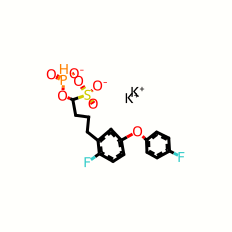 O=[PH]([O-])OC(CCCc1cc(Oc2ccc(F)cc2)ccc1F)S(=O)(=O)[O-].[K+].[K+]